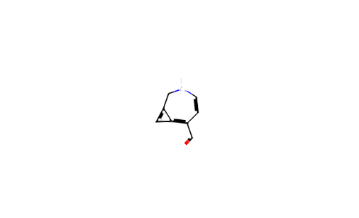 O=CC1=C2C=C2CNC=C1